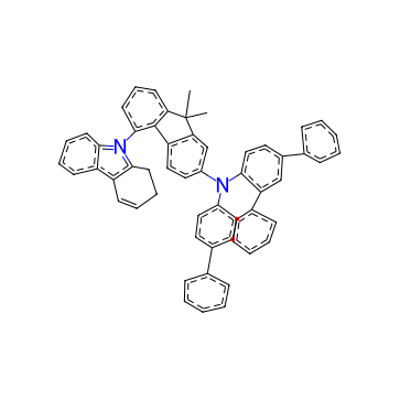 CC1(C)c2cc(N(c3ccc(-c4ccccc4)cc3)c3ccc(-c4ccccc4)cc3-c3ccccc3)ccc2-c2c(-n3c4c(c5ccccc53)C=CCC4)cccc21